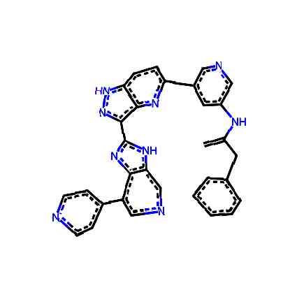 C=C(Cc1ccccc1)Nc1cncc(-c2ccc3[nH]nc(-c4nc5c(-c6ccncc6)cncc5[nH]4)c3n2)c1